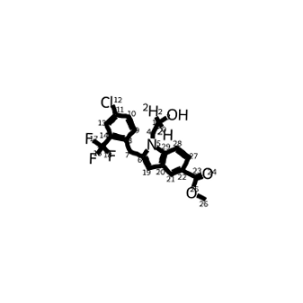 [2H]C([2H])(O)Cn1c(Cc2ccc(Cl)cc2C(F)(F)F)cc2cc(C(=O)OC)ccc21